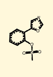 CS(=O)(=O)Oc1ccccc1-c1cnco1